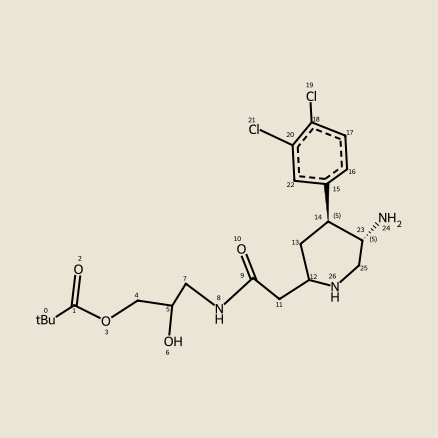 CC(C)(C)C(=O)OCC(O)CNC(=O)CC1C[C@@H](c2ccc(Cl)c(Cl)c2)[C@H](N)CN1